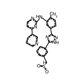 Cc1ccc(-c2n[nH]c(-c3cccc(C[SH](=O)=O)c3)n2)cc1Nc1nccc(-c2cccnc2)n1